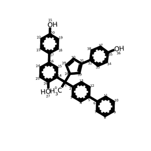 CC(c1ccc(-c2ccccc2)cc1)(c1cc(-c2ccc(O)cc2)ccc1O)C1C=CC(c2ccc(O)cc2)=C1